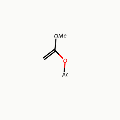 C=C(OC)OC(C)=O